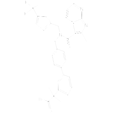 Cc1nc2ncccn2c1C(=O)N(Cc1ccc(-c2cccc(C(C)(C)C(=O)O)c2)cc1)Cc1ccc(C(F)(F)F)o1